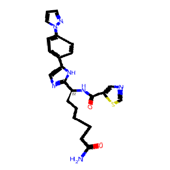 NC(=O)CCCCC[C@H](NC(=O)c1cncs1)c1ncc(-c2ccc(-n3cccn3)cc2)[nH]1